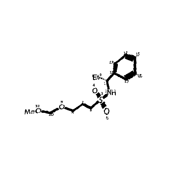 CC[C@@H](NS(=O)(=O)CCCOCOC)c1ccccc1